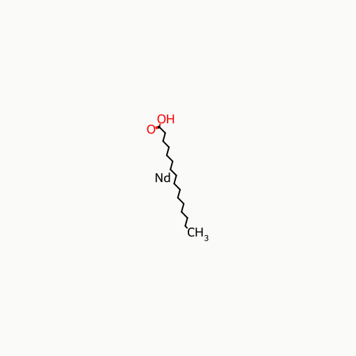 CCCCCCCCCCCCCCCC(=O)O.[Nd]